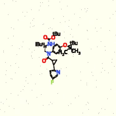 CC[C@H](C)[C@@H](CN(C(=O)C1CC1c1ccc(F)cn1)c1ccc(O[Si](C)(C)C(C)(C)C)cc1)NC(=O)OC(C)(C)C